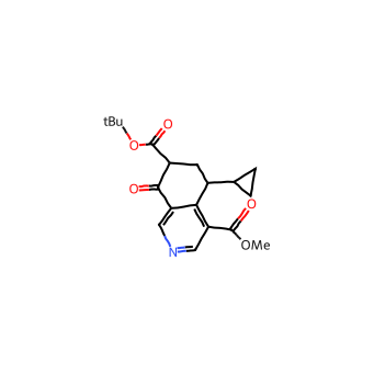 COC(=O)c1cncc2c1C(C1CC1)CC(C(=O)OC(C)(C)C)C2=O